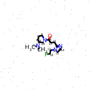 CN(C)[C@H]1CCCN(C(=O)CCc2nccn2CCF)C1